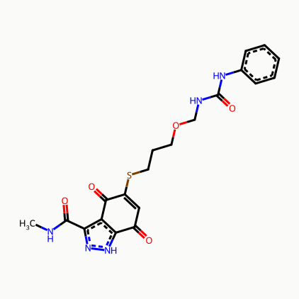 CNC(=O)c1n[nH]c2c1C(=O)C(SCCCOCNC(=O)Nc1ccccc1)=CC2=O